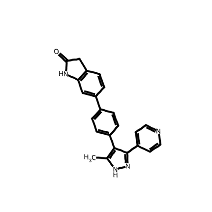 Cc1[nH]nc(-c2ccncc2)c1-c1ccc(-c2ccc3c(c2)NC(=O)C3)cc1